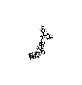 O=C(CCCC(c1ccc(F)cc1)c1ccc(F)cc1)CN1CCN(C(=O)c2ccc(OC(F)(F)F)cc2)CC1